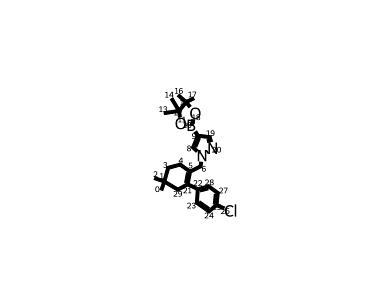 CC1(C)CCC(Cn2cc(B3OC(C)(C)C(C)(C)O3)cn2)=C(c2ccc(Cl)cc2)C1